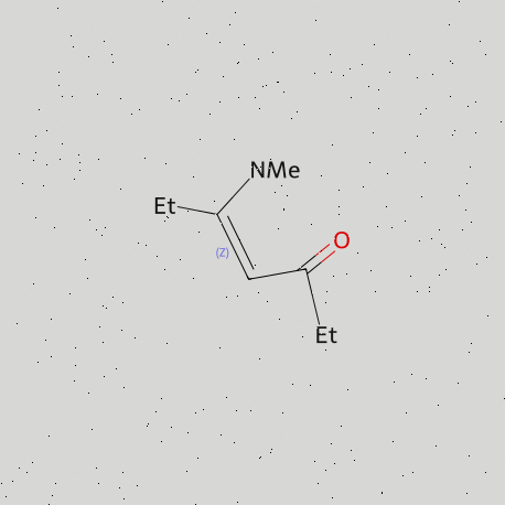 CCC(=O)/C=C(/CC)NC